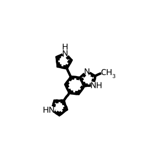 Cc1nc2c(-c3cc[nH]c3)cc(-c3cc[nH]c3)cc2[nH]1